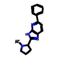 N#CN1CCCC1c1nc2ccc(-c3ccccc3)nc2[nH]1